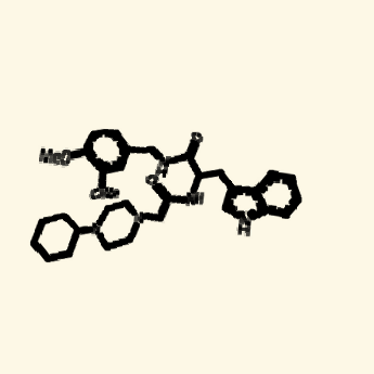 COc1ccc(CNC(=O)C(Cc2c[nH]c3ccccc23)NC(=O)CN2CCN(C3CCCCC3)CC2)cc1OC